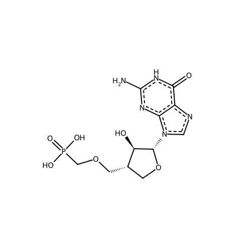 Nc1nc2c(ncn2[C@@H]2OC[C@H](COCP(=O)(O)O)[C@H]2O)c(=O)[nH]1